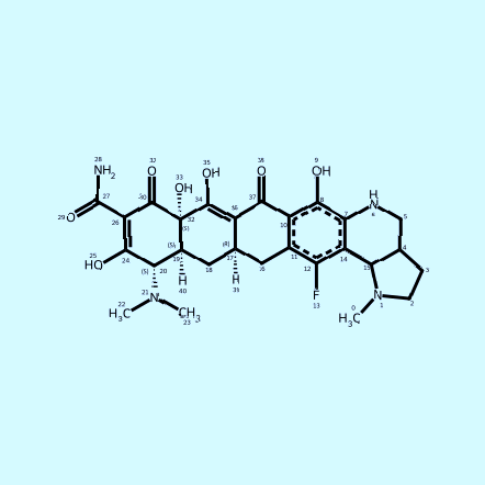 CN1CCC2CNc3c(O)c4c(c(F)c3C21)C[C@H]1C[C@H]2[C@H](N(C)C)C(O)=C(C(N)=O)C(=O)[C@@]2(O)C(O)=C1C4=O